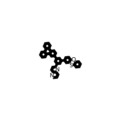 c1ccc2c(c1)Oc1ccc(-c3cc(-c4ccc5c6ccccc6c6ccccc6c5c4)cc(-c4ccc5ncccc5n4)c3)cc1S2